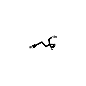 C#CCCC1(CCCCC)N=N1